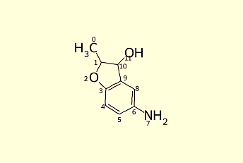 CC1Oc2ccc(N)cc2C1O